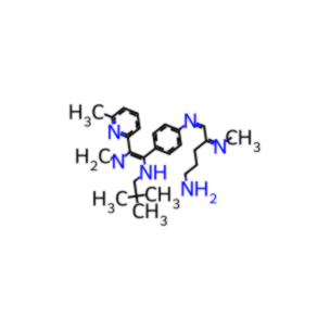 C=N/C(=C(\NCC(C)(C)C)c1ccc(/N=C\C(CCCN)=N/C)cc1)c1cccc(C)n1